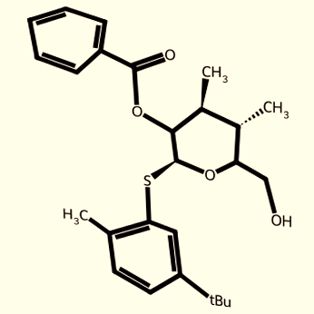 Cc1ccc(C(C)(C)C)cc1S[C@@H]1OC(CO)[C@@H](C)[C@H](C)C1OC(=O)c1ccccc1